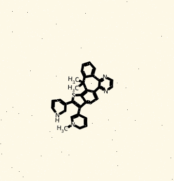 CN1C=C(c2c(C3=CC=CNC3)sc3c4c(ccc23)-c2nccnc2-c2ccccc2C4(C)C)C=CC1